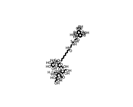 CC(=O)NC1C(OCCCCCCCCC(=O)NCCNC(=S)NCC(=O)Nc2ccc(S(=O)(=O)O)c3cc(S(=O)(=O)O)cc(S(=O)(=O)O)c23)OC(CO)C(OC2OC(CO)C(O)C(OC3(C(=O)O)CC(O)C(NC(C)=O)C([C@H](O)[C@H](O)CO)O3)C2O)C1OC1OC(C)C(O)C(O)C1O